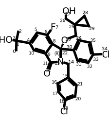 CC(C)(O)c1cc(F)c2c(c1)C(=O)N(Cc1ccc(Cl)cc1)[C@@]2(OCC1(CO)CC1)c1ccc(Cl)cc1